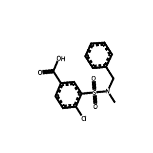 CN(Cc1ccccc1)S(=O)(=O)c1cc(C(=O)O)ccc1Cl